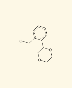 ClCc1ccccc1C1COCCO1